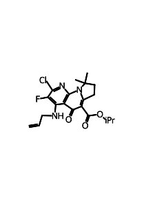 C=CCNc1c(F)c(Cl)nc2c1c(=O)c(C(=O)OC(C)C)c1n2C(C)(C)CC1